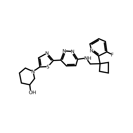 OC1CCCN(c2cnc(-c3ccc(NCC4(c5ncccc5F)CCC4)nn3)s2)C1